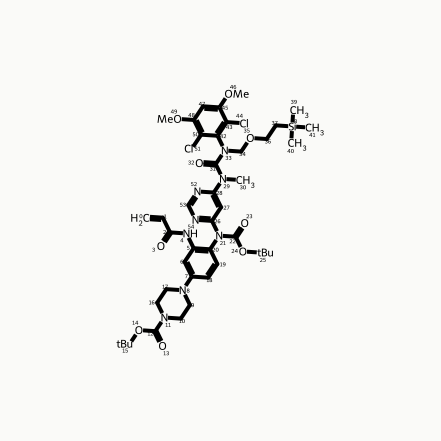 C=CC(=O)Nc1cc(N2CCN(C(=O)OC(C)(C)C)CC2)ccc1N(C(=O)OC(C)(C)C)c1cc(N(C)C(=O)N(COCC[Si](C)(C)C)c2c(Cl)c(OC)cc(OC)c2Cl)ncn1